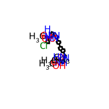 COC(=O)NC(C(=O)N1CCC[C@H]1c1ncc(-c2ccc(-c3ccc4cc(-c5cnc([C@@H]6CCCN6C(=O)[C@@H](NC(O)OC)C(C)C)[nH]5)ccc4c3)cc2)[nH]1)c1ccc(Cl)cc1